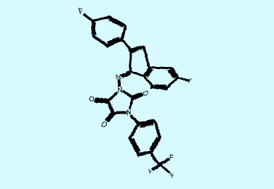 O=C1C(=O)N(c2ccc(C(F)(F)F)cc2)C(=O)N1N=C1c2ccc(F)cc2CC1c1ccc(F)cc1